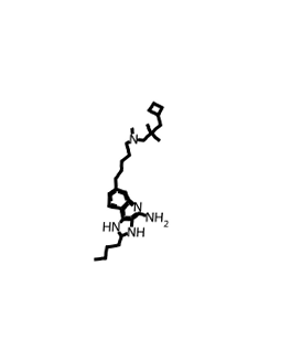 CCCCC1Nc2c(N)nc3cc(CCCCCN(C)CC(C)(C)CC4CCC4)ccc3c2N1